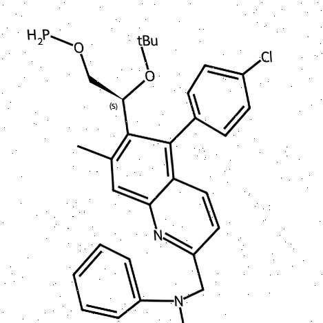 Cc1cc2nc(CN(C)c3ccccc3)ccc2c(-c2ccc(Cl)cc2)c1[C@@H](COP)OC(C)(C)C